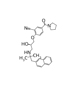 CC(C)(Cc1ccc2ccccc2c1)NC[C@@H](O)COc1ccc(C(=O)N2CCCC2)cc1C#N